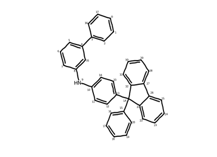 c1ccc(-c2cccc(Nc3ccc(C4(c5ccccc5)c5ccccc5-c5ccccc54)cc3)c2)cc1